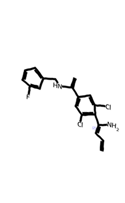 C=C/C=C(\N)c1c(Cl)cc(C(=C)NCc2cccc(F)c2)cc1Cl